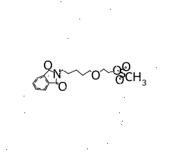 CS(=O)(=O)OCCOCCCCCN1C(=O)c2ccccc2C1=O